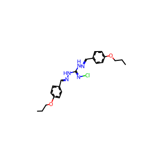 CCCOc1ccc(/C=N/NC(=NCl)N/N=C/c2ccc(OCCC)cc2)cc1